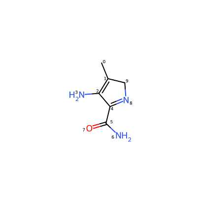 CC1=C(N)C(C(N)=O)=NC1